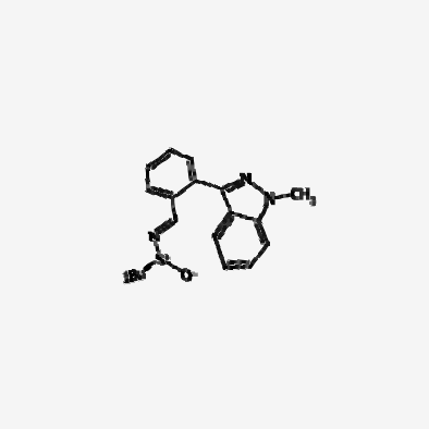 Cn1nc(-c2ccccc2/C=N/[S@@+]([O-])C(C)(C)C)c2ccccc21